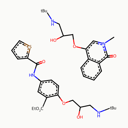 CCOC(=O)c1cc(NC(=O)c2cccs2)ccc1OCC(O)CNC(C)(C)C.Cn1cc(OCC(O)CNC(C)(C)C)c2ccccc2c1=O